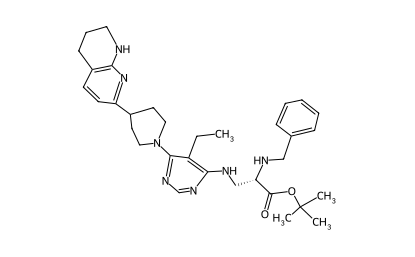 CCc1c(NC[C@H](NCc2ccccc2)C(=O)OC(C)(C)C)ncnc1N1CCC(c2ccc3c(n2)NCCC3)CC1